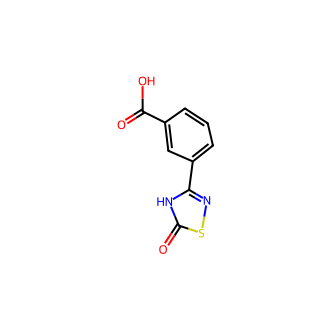 O=C(O)c1cccc(-c2nsc(=O)[nH]2)c1